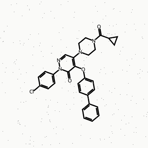 O=C(C1CC1)N1CCN(c2cnn(-c3ccc(Cl)cc3)c(=O)c2Oc2ccc(-c3ccccc3)cc2)CC1